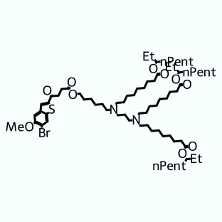 CCCCCC(CC)OC(=O)CCCCCCCCN(CCCCCCCCC(=O)OC(CC)CCCCC)CCCN(CCCCCCCCC(=O)OC(CC)CCCCC)CCCCCCOC(=O)CCC(=O)c1cc2cc(OC)c(Br)cc2s1